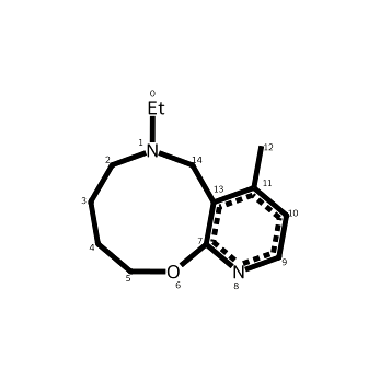 CCN1CCCCOc2nccc(C)c2C1